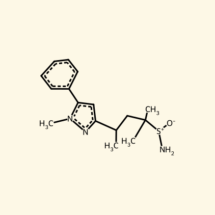 CC(CC(C)(C)[S+](N)[O-])c1cc(-c2ccccc2)n(C)n1